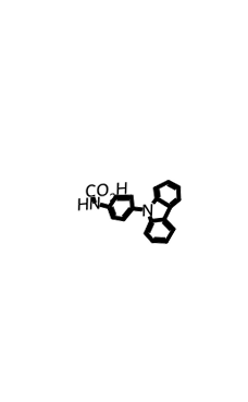 O=C(O)Nc1ccc(-n2c3ccccc3c3ccccc32)cc1